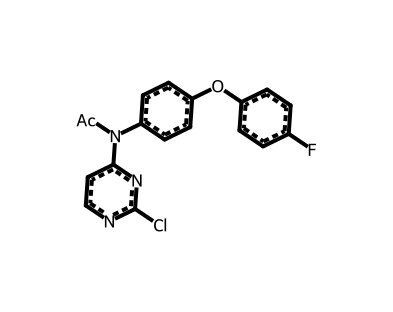 CC(=O)N(c1ccc(Oc2ccc(F)cc2)cc1)c1ccnc(Cl)n1